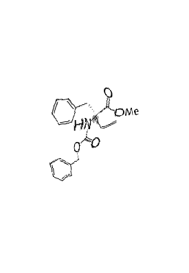 C=C[C@@](Cc1ccccc1)(NC(=O)OCc1ccccc1)C(=O)OC